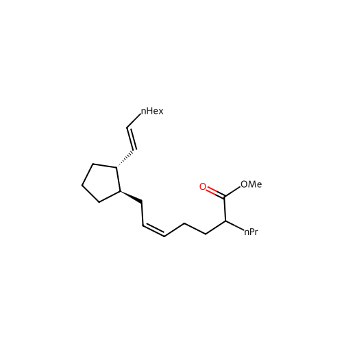 CCCCCC/C=C/[C@H]1CCC[C@@H]1C/C=C\CCC(CCC)C(=O)OC